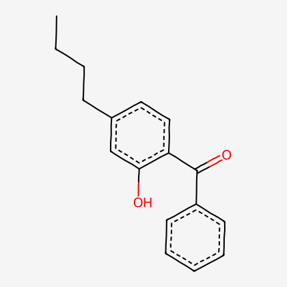 CCCCc1ccc(C(=O)c2ccccc2)c(O)c1